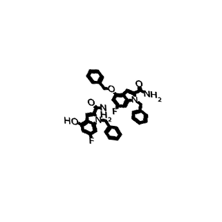 NC(=O)c1cc2c(O)cc(F)cc2n1Cc1ccccc1.NC(=O)c1cc2c(OCc3ccccc3)cc(F)cc2n1Cc1ccccc1